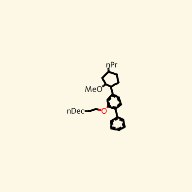 CCCCCCCCCCCCOc1cc(C2CCC(CCC)CC2OC)ccc1-c1ccccc1